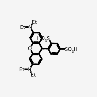 CCN(CC)c1ccc2c(c1)Oc1cc(N(CC)CC)ccc1C2c1ccc(S(=O)(=O)O)cc1S(=O)(=O)O